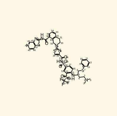 CN(C)CC[C@H](CSc1ccccc1)Nc1ccc(S(=O)(=O)NC(=O)c2csc(N3CCc4cccc(C(=O)Nc5nc6cnccc6s5)c4C3)n2)cc1S(=O)(=O)C(F)(F)F